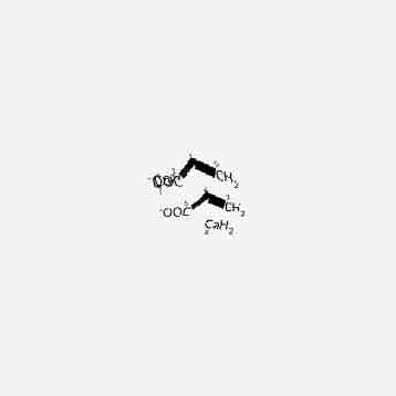 C=CC(=O)[O-].C=CC(=O)[O-].[CaH2].[Co+2]